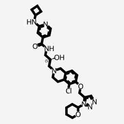 O=C(NC[C@H](O)CN1CCc2c(ccc(OCc3cnnn3C3CCCCO3)c2Cl)C1)c1ccnc(NC2CCC2)c1